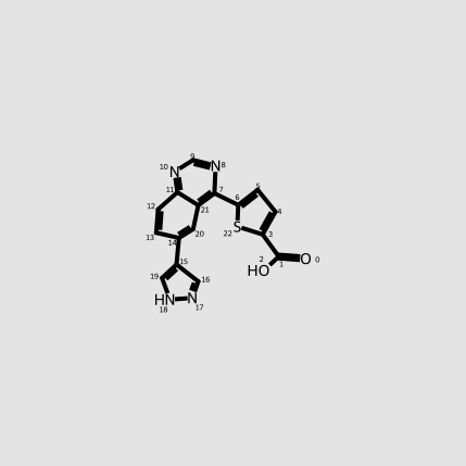 O=C(O)c1ccc(-c2ncnc3ccc(-c4cn[nH]c4)cc23)s1